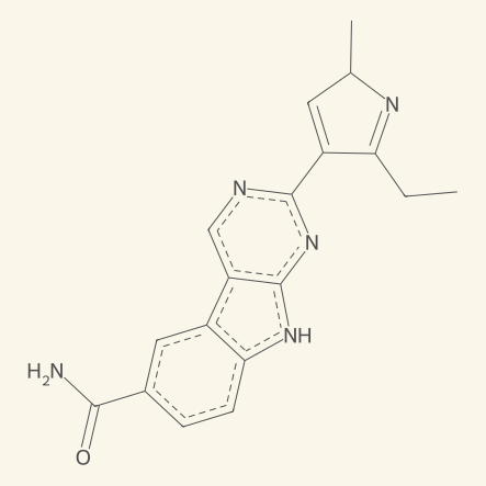 CCC1=NC(C)C=C1c1ncc2c(n1)[nH]c1ccc(C(N)=O)cc12